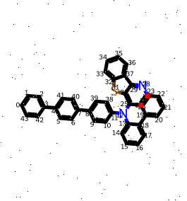 c1ccc(-c2ccc(-c3ccc(N(c4ccccc4-c4ccccc4)c4ccnc5c4sc4ccccc45)cc3)cc2)cc1